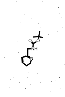 CC(C)(C)OC(=O)NCC1=NCCC=C1